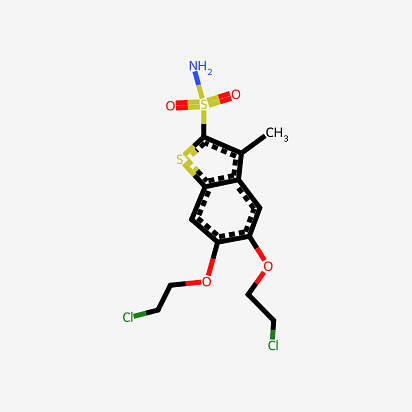 Cc1c(S(N)(=O)=O)sc2cc(OCCCl)c(OCCCl)cc12